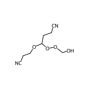 N#CCCOC(CCC#N)OOCO